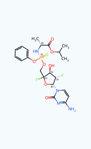 CC(C)OC(=O)[C@@H](C)N[P@](=S)(OC[C@@]1(F)O[C@@H](n2ccc(N)nc2=O)[C@@H](F)[C@@H]1O)Oc1ccccc1